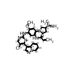 C=CC(=O)Nc1cc(Nc2ncc(Cl)c(-c3cnn4ccccc34)n2)c(OC)cc1N1CCC(N(C)N)C1